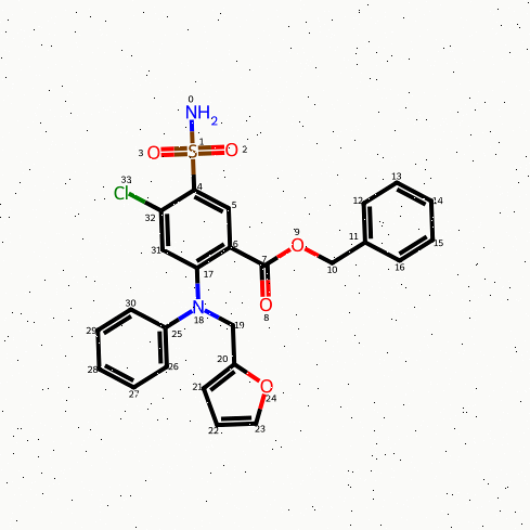 NS(=O)(=O)c1cc(C(=O)OCc2ccccc2)c(N(Cc2ccco2)c2ccccc2)cc1Cl